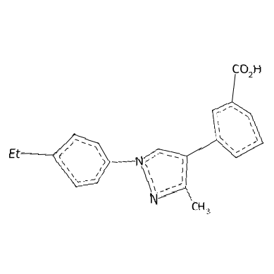 CCc1ccc(-n2cc(-c3cccc(C(=O)O)c3)c(C)n2)cc1